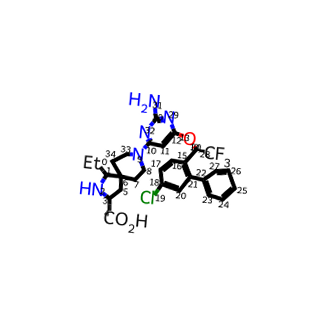 CCC1NC(C(=O)O)CC12CCN(c1cc(O[C@H](c3ccc(Cl)cc3-c3ccccc3)C(F)(F)F)nc(N)n1)CC2